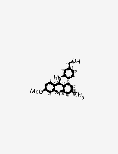 COc1ccc2c(Nc3cccc(CO)c3)c3ccc(C)cc3nc2c1